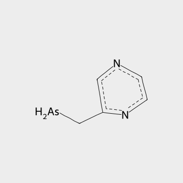 [AsH2]Cc1cnccn1